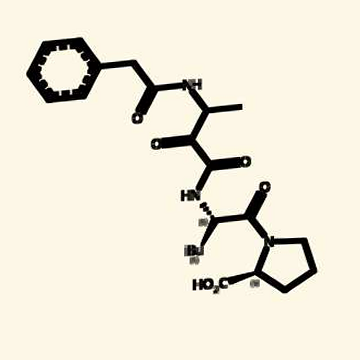 CC[C@H](C)[C@H](NC(=O)C(=O)C(C)NC(=O)Cc1ccccc1)C(=O)N1CCC[C@H]1C(=O)O